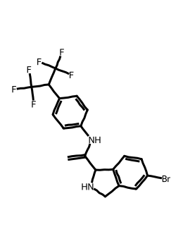 C=C(Nc1ccc(C(C(F)(F)F)C(F)(F)F)cc1)C1NCc2cc(Br)ccc21